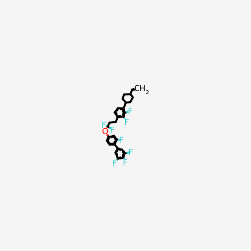 C=CC1CCC(c2ccc(CCC(F)(F)Oc3ccc(-c4cc(F)c(F)c(F)c4)c(F)c3)c(F)c2F)CC1